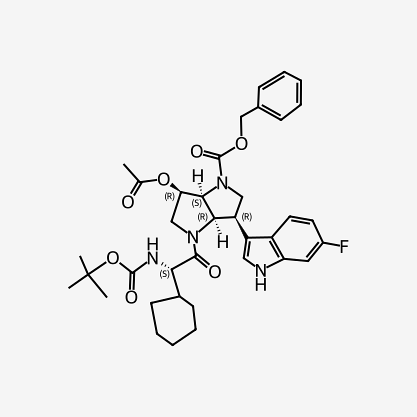 CC(=O)O[C@@H]1CN(C(=O)[C@@H](NC(=O)OC(C)(C)C)C2CCCCC2)[C@H]2[C@@H]1N(C(=O)OCc1ccccc1)C[C@H]2c1c[nH]c2cc(F)ccc12